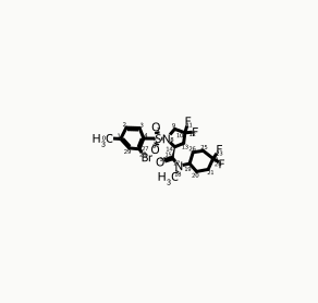 Cc1ccc(S(=O)(=O)N2CC(F)(F)C[C@H]2C(=O)N(C)C2CCC(F)(F)CC2)c(Br)c1